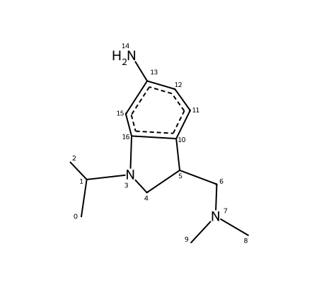 CC(C)N1CC(CN(C)C)c2ccc(N)cc21